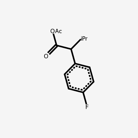 CC(=O)OC(=O)C(c1ccc(F)cc1)C(C)C